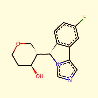 O[C@H]1CCOC[C@@H]1[C@@H]1c2ccc(F)cc2-c2cncn21